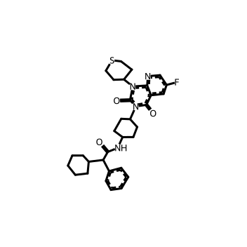 O=C(NC1CCC(n2c(=O)c3cc(F)cnc3n(C3CCSCC3)c2=O)CC1)C(c1ccccc1)C1CCCCC1